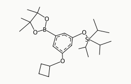 CC(C)[Si](Oc1cc(OC2CCC2)cc(B2OC(C)(C)C(C)(C)O2)c1)(C(C)C)C(C)C